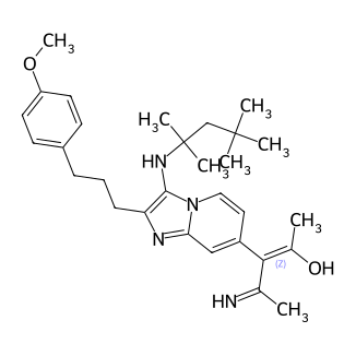 COc1ccc(CCCc2nc3cc(/C(C(C)=N)=C(\C)O)ccn3c2NC(C)(C)CC(C)(C)C)cc1